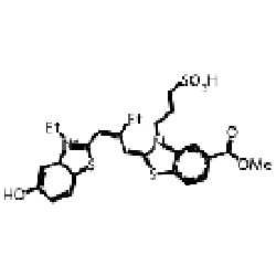 CCC(=CC1=[N+](CC)C2C=C(O)C=CC2S1)C=C1Sc2ccc(C(=O)OC)cc2N1CCCS(=O)(=O)O